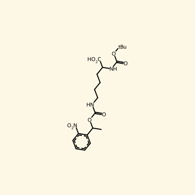 CC(OC(=O)NCCCCC(NC(=O)OC(C)(C)C)C(=O)O)c1ccccc1[N+](=O)[O-]